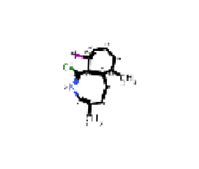 C/C1=C/N=C(/Cl)C2=C(CC1)C(C)CCC=C2I